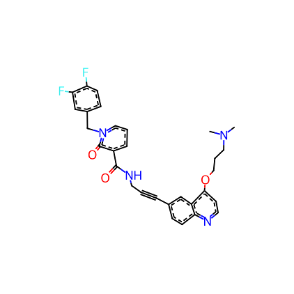 CN(C)CCCOc1ccnc2ccc(C#CCNC(=O)c3cccn(Cc4ccc(F)c(F)c4)c3=O)cc12